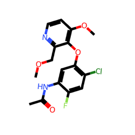 COCc1nccc(OC)c1Oc1cc(NC(C)=O)c(F)cc1Cl